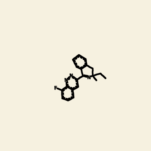 CCC1(C)Cc2ccccc2C(c2cc3cccc(F)c3nn2)=N1